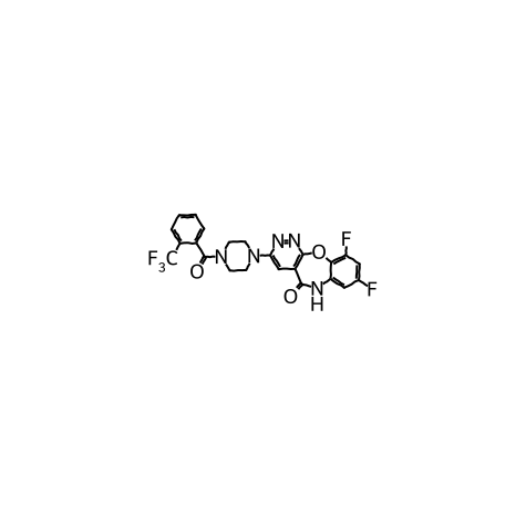 O=C1Nc2cc(F)cc(F)c2Oc2nnc(N3CCN(C(=O)c4ccccc4C(F)(F)F)CC3)cc21